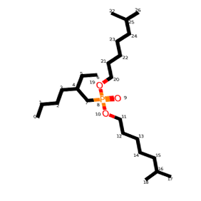 CCCCC(CC)CP(=O)(OCCCCCC(C)C)OCCCCCC(C)C